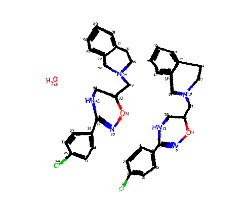 Clc1ccc(C2=NOC(CN3CCc4ccccc4C3)CN2)cc1.Clc1ccc(C2=NOC(CN3CCc4ccccc4C3)CN2)cc1.O